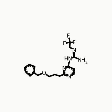 N/C(=N/CC(F)(F)F)Nc1ccnc(CCCOCc2ccccc2)n1